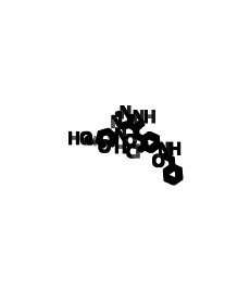 O=C(Cc1ccccc1)Nc1ccc(C(=O)c2c[nH]c3ncnc(N[C@@H]4CC[C@@H](CO)OC4)c23)c(Cl)c1